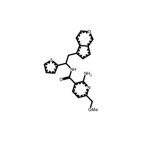 COCc1ccc(C(=O)NC(Cc2ccc3coccc2-3)c2cccs2)c(N)n1